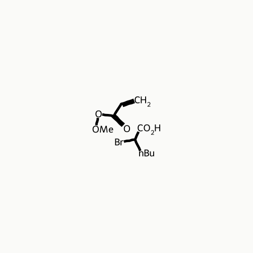 C=CC(=O)OOC.CCCCC(Br)C(=O)O